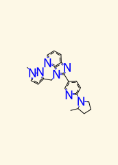 CC1CCCN1c1ccc(-c2nc3cccnc3n2Cc2ccn(C)n2)cn1